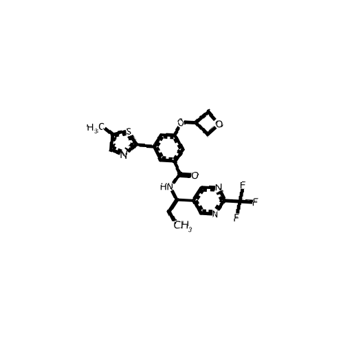 CCC(NC(=O)c1cc(OC2COC2)cc(-c2ncc(C)s2)c1)c1cnc(C(F)(F)F)nc1